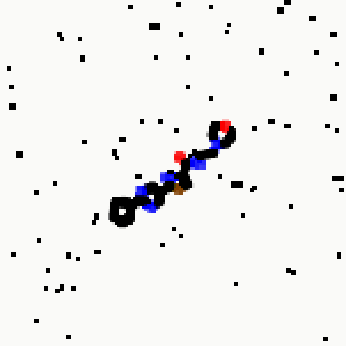 O=C(NCCN1CCOCC1)C1=CSC(c2cnc(-c3ccccc3)nc2)N1